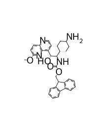 COc1ccc2nccc([C@@H](O)[C@H](NC(=O)OCC3c4ccccc4-c4ccccc43)[C@H]3CC[C@H](N)CC3)c2n1